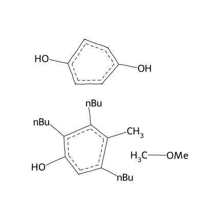 CCCCc1cc(O)c(CCCC)c(CCCC)c1C.COC.Oc1ccc(O)cc1